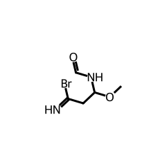 COC(CC(=N)Br)NC=O